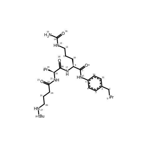 CC(C)Cc1ccc(NC(=O)[C@H](CCCNC(N)=O)NC(=O)[C@@H](NC(=O)CCCNC(C)(C)C)C(C)C)cc1